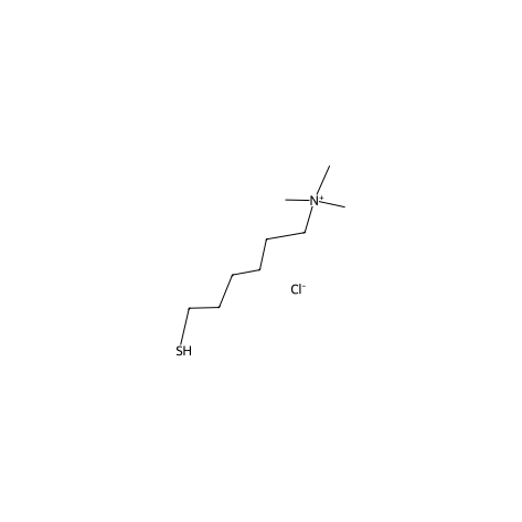 C[N+](C)(C)CCCCCCS.[Cl-]